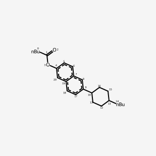 CCCCC(=O)Oc1ccc2cc(C3CCC(CCCC)CC3)ccc2c1